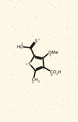 COc1c(C(O)=S)sc(C)c1C(=O)O